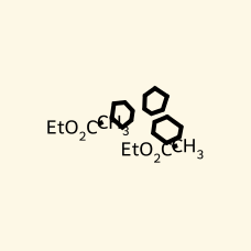 C1CCCCC1.C1CCCCC1.C1CCCCC1.CCOC(C)=O.CCOC(C)=O